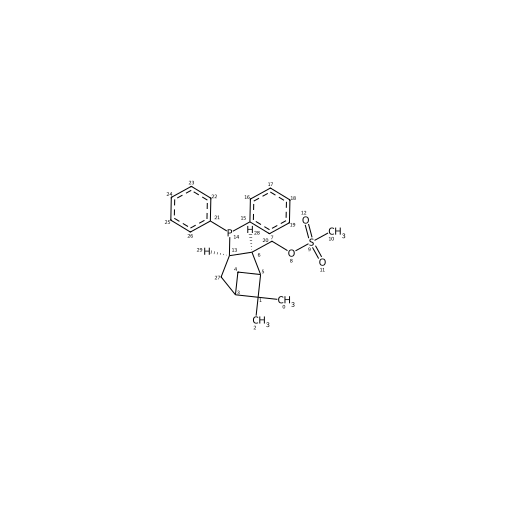 CC1(C)C2CC1[C@H](COS(C)(=O)=O)[C@H](P(c1ccccc1)c1ccccc1)C2